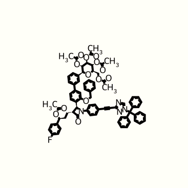 CC(=O)OC[C@H]1O[C@@H](c2cccc(-c3ccc([C@@H]4[C@@H](CC[C@H](OC(C)=O)c5ccc(F)cc5)C(=O)N4c4ccc(C#Cc5ncn(C(c6ccccc6)(c6ccccc6)c6ccccc6)n5)cc4)c(OCc4ccccc4)c3)c2)[C@H](OC(C)=O)[C@@H](OC(C)=O)[C@@H]1OC(C)=O